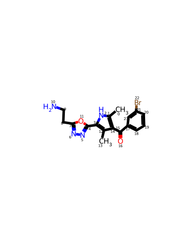 Cc1[nH]c(-c2nnc(CCN)o2)c(C)c1C(=O)c1cccc(Br)c1